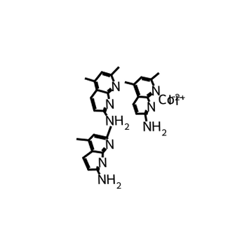 Cc1cc(C)c2ccc(N)nc2n1.Cc1cc(C)c2ccc(N)nc2n1.Cc1cc(C)c2ccc(N)nc2n1.[Co+2].[I-].[I-]